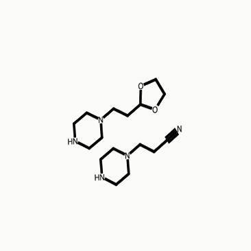 C1CN(CCC2OCCO2)CCN1.N#CCCN1CCNCC1